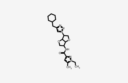 CCn1nc(C(=O)NC2COC3C2OCC3n2cc(CC3CCCCC3)nn2)cc1C